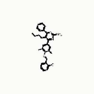 CCCCc1c(-c2ccccc2)nc(N)nc1-c1cc(C)c(OCc2ccccc2Cl)c(C)c1